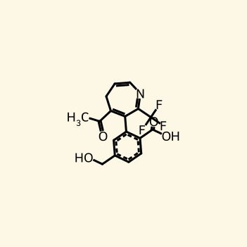 CC(=O)C1=C(c2cc(CO)ccc2C(=O)O)C(C(F)(F)F)=NC=CC1